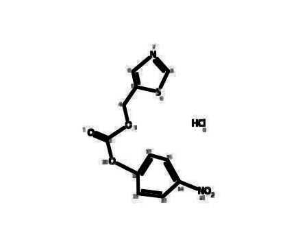 Cl.O=C(OCc1cncs1)Oc1ccc([N+](=O)[O-])cc1